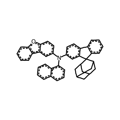 c1ccc2c(c1)-c1ccc(N(c3ccc4oc5ccccc5c4c3)c3cccc4ccccc34)cc1C21C2CC3CC(C2)CC1C3